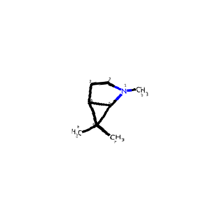 CN1CCC2C1C2(C)C